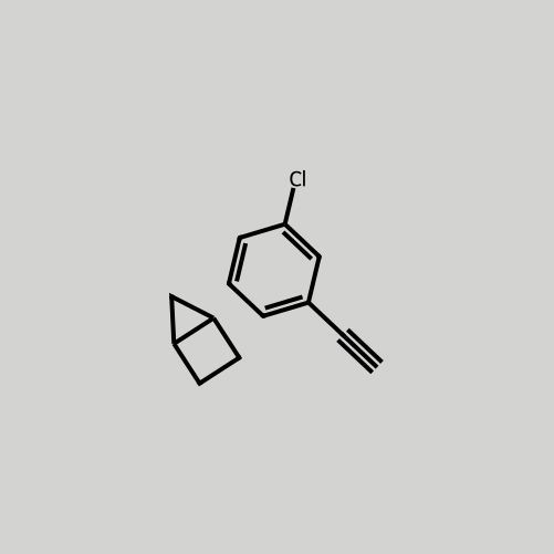 C#Cc1cccc(Cl)c1.C1CC2CC12